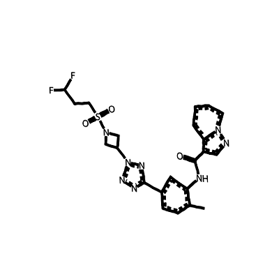 Cc1ccc(-c2nnn(C3CN(S(=O)(=O)CCC(F)F)C3)n2)cc1NC(=O)c1cnn2ccccc12